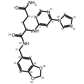 NC(=O)CCC(Nc1cc(-n2ccnc2)ncn1)C(=O)NCc1ccc2c(c1)OCO2